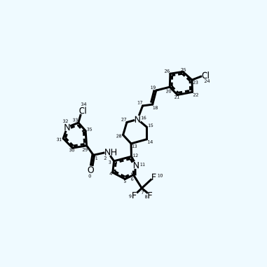 O=C(Nc1ccc(C(F)(F)F)nc1C1CCN(CC=Cc2ccc(Cl)cc2)CC1)c1ccnc(Cl)c1